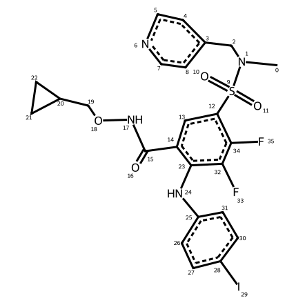 CN(Cc1ccncc1)S(=O)(=O)c1cc(C(=O)NOCC2CC2)c(Nc2ccc(I)cc2)c(F)c1F